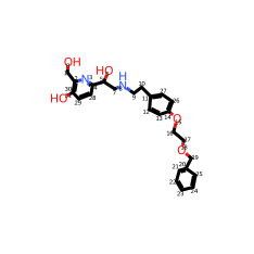 OCc1nc(C(O)CNCCc2ccc(OCCOCc3ccccc3)cc2)ccc1O